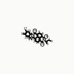 CCC(C)N1C(=O)c2ccc3c(=O)n4c5cc(C)c(C)cc5nc4c4ccc(c2c34)C1=O